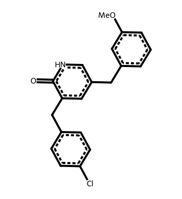 COc1cccc(Cc2c[nH]c(=O)c(Cc3ccc(Cl)cc3)c2)c1